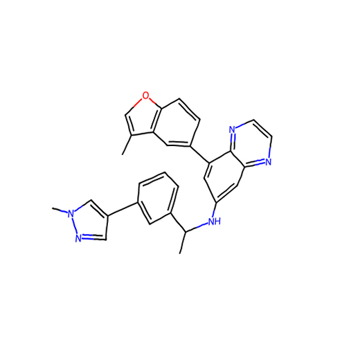 Cc1coc2ccc(-c3cc(NC(C)c4cccc(-c5cnn(C)c5)c4)cc4nccnc34)cc12